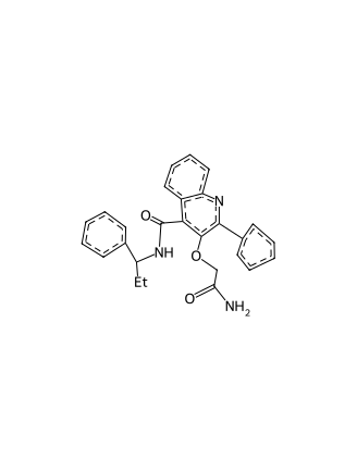 CCC(NC(=O)c1c(OCC(N)=O)c(-c2ccccc2)nc2ccccc12)c1ccccc1